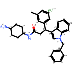 Cc1cccc(C(CC(=O)NC2CCC(N)CC2)c2cn(Cc3ccccc3)c3ccccc23)c1.Cl